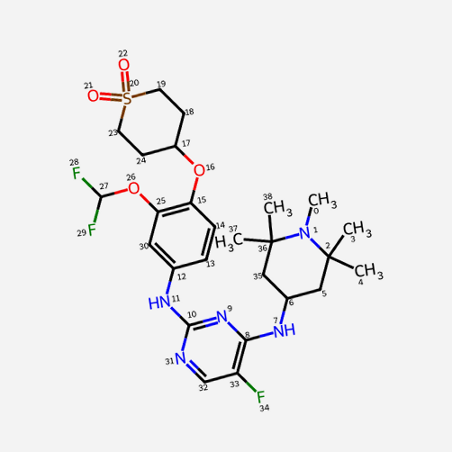 CN1C(C)(C)CC(Nc2nc(Nc3ccc(OC4CCS(=O)(=O)CC4)c(OC(F)F)c3)ncc2F)CC1(C)C